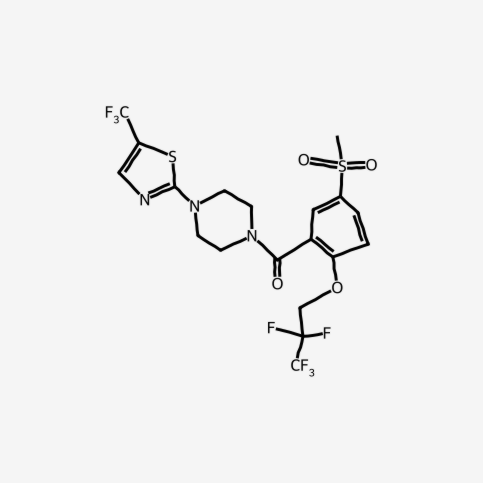 CS(=O)(=O)c1ccc(OCC(F)(F)C(F)(F)F)c(C(=O)N2CCN(c3ncc(C(F)(F)F)s3)CC2)c1